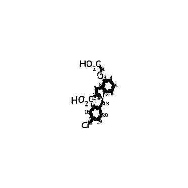 O=C(O)COc1cccc2c1cc(C(=O)O)n2Cc1ccc(Cl)cc1